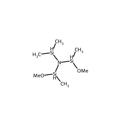 CO[SiH](C)N([SiH](C)C)[SiH](C)OC